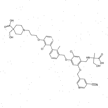 Cc1c(COc2cc(OCc3cncc(C#N)c3)c(CNC(C)(CO)C(=O)O)cc2Cl)cccc1-c1cccc(OCCCN2CCC(CO)(C(=O)O)CC2)c1Cl